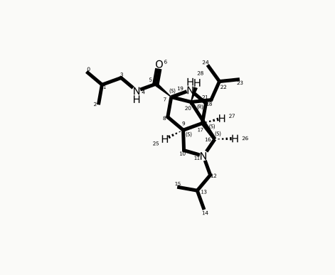 CC(C)CNC(=O)[C@@]12C[C@@H]3CN(CC(C)C)[C@@H]([C@@H]3CN1)[C@H]2CC(C)C